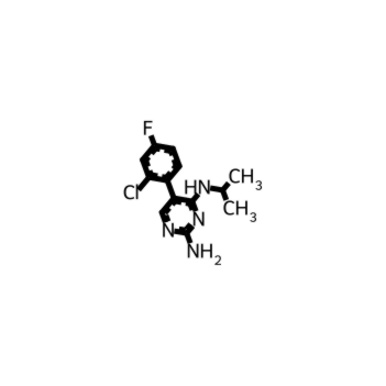 CC(C)Nc1nc(N)ncc1-c1ccc(F)cc1Cl